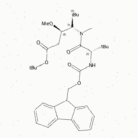 CC[C@H](C)[C@@H]([C@@H](CC(=O)OC(C)(C)C)OC)N(C)C(=O)[C@@H](NC(=O)OCC1c2ccccc2-c2ccccc21)C(C)(C)C